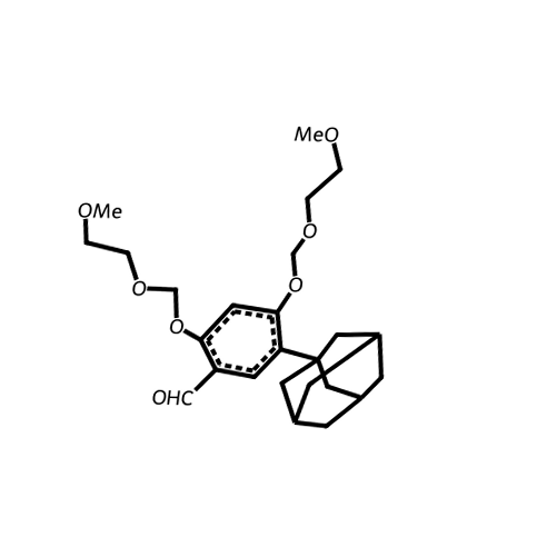 COCCOCOc1cc(OCOCCOC)c(C23CC4CC(CC(C4)C2)C3)cc1C=O